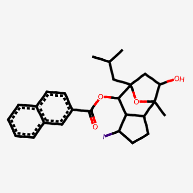 CC(C)CC12CC(O)C(C)(O1)C1CCC(I)C1C2OC(=O)c1ccc2ccccc2c1